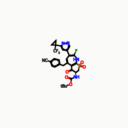 CC(C)(C)OC(=O)N[C@H]1CS(=O)(=O)C2=C(C1=O)C(Cc1ccc(C#N)cc1)=CC(c1cnnc(C3(C(F)(F)F)CC3)c1)=C(F)N2